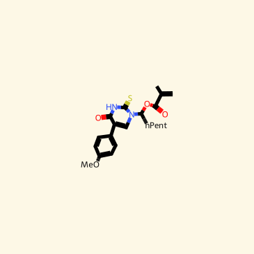 C=C(C)C(=O)OC(CCCCC)n1cc(-c2ccc(OC)cc2)c(=O)[nH]c1=S